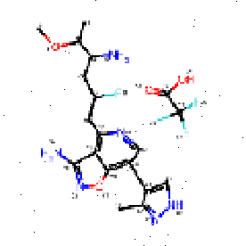 COC(C)C(N)CC(F)Cc1ncc(-c2c[nH]nc2C)c2onc(N)c12.O=C(O)C(F)(F)F